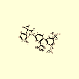 COc1cc(-c2ccc(NC(=O)C3(c4cccc(Cl)c4)CC3)cc2-c2nnn[nH]2)cc(C(F)(F)F)n1